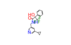 O=C(NCc1cncc(C2CC2)c1)[C@](O)(c1ccccc1)C(F)(F)F